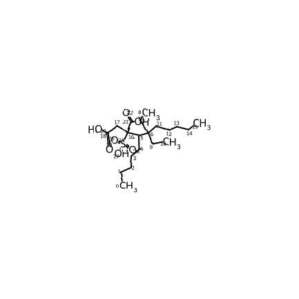 CCCCCC(C(CC)(CC)CCCCC)C(CC(=O)O)(C(=O)O)S(=O)(=O)O